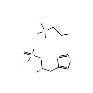 C[N+](C)(C)CCO.O=C([O-])[C@H](Cc1c[nH]cn1)NP(=O)(O)O